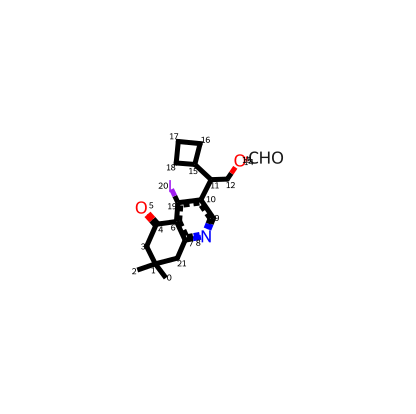 CC1(C)CC(=O)c2c(ncc(C(COC=O)C3CCC3)c2I)C1